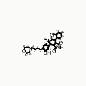 Cn1c2cc(CCCCN3CCOCC3)c(O)cc2c2c3c(c(-c4ccccc4Cl)cc21)C(=O)NC3=O